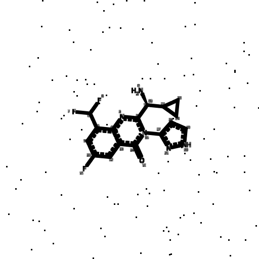 N[C@H](c1nc2c(C(F)F)cc(F)cc2c(=O)n1-c1cc[nH]n1)C1CC1